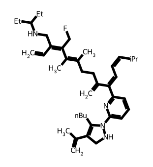 C=C/C(CNC(CC)CC)=C(CF)\C(C)=C(/C)CCC(=C)/C(=C\C=C/C(C)C)c1cccc(N2NCC(C(=C)C)=C2CCCC)n1